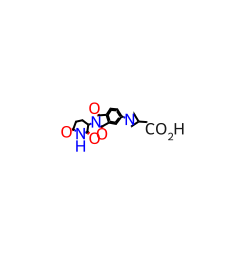 O=C(O)CC1CN(c2ccc3c(c2)C(=O)N(C2CCC(=O)NC2=O)C3=O)C1